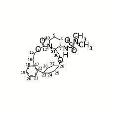 CN(C)S(=O)(=O)N[C@H]1CCCN2C(=O)OCCc3ccccc3C3CCC(CC3)OCC12